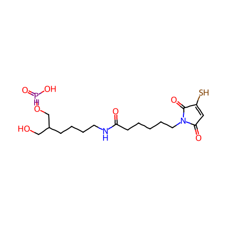 O=C(CCCCCN1C(=O)C=C(S)C1=O)NCCCCC(CO)CO[PH](=O)O